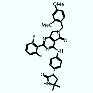 COc1ccc(CN2Cc3nc(-c4c(F)cccc4F)nc(Nc4ccc([C@@H]5CC(C)(C)NC5=O)cc4)c3C2=O)c(OC)c1